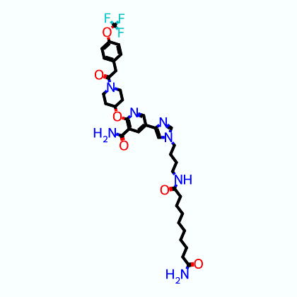 NC(=O)CCCCCCCCC(=O)NCCCCn1cnc(-c2cnc(OC3CCN(C(=O)Cc4ccc(OC(F)(F)F)cc4)CC3)c(C(N)=O)c2)c1